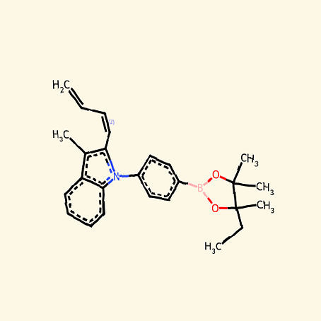 C=C/C=C\c1c(C)c2ccccc2n1-c1ccc(B2OC(C)(C)C(C)(CC)O2)cc1